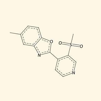 Cc1ccc2oc(-c3ccncc3S(C)(=O)=O)nc2c1